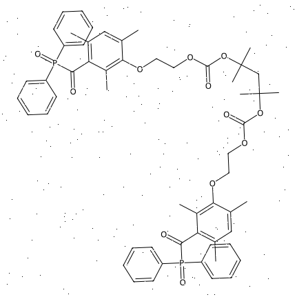 Cc1cc(C)c(C(=O)P(=O)(c2ccccc2)c2ccccc2)c(C)c1OCCOC(=O)OC(C)(C)CC(C)(C)OC(=O)OCCOc1c(C)cc(C)c(C(=O)P(=O)(c2ccccc2)c2ccccc2)c1C